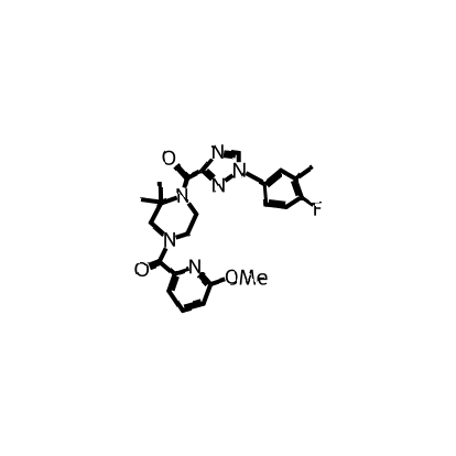 COc1cccc(C(=O)N2CCN(C(=O)c3ncn(-c4ccc(F)c(C)c4)n3)C(C)(C)C2)n1